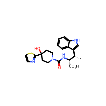 C[C@@H](c1c[nH]c2ccccc12)[C@@H](NC(=O)N1CCC(O)(c2nccs2)CC1)C(=O)O